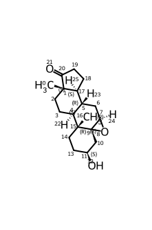 C[C@]12CC[C@H]3[C@@H](C[C@H]4O[C@@]45C[C@@H](O)CC[C@]35C)[C@@H]1CCC2=O